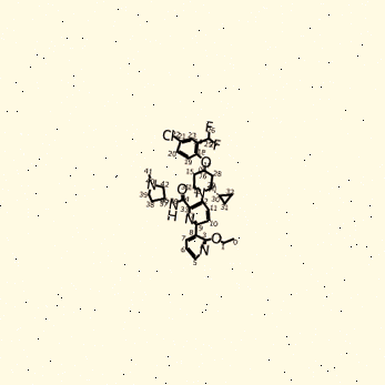 CCOc1ncccc1-c1ccc(N2CC[C@H](Oc3ccc(Cl)cc3C(F)F)C[C@@H]2C2CC2)c(C(=O)N[C@@H]2CCN(C)C2)n1